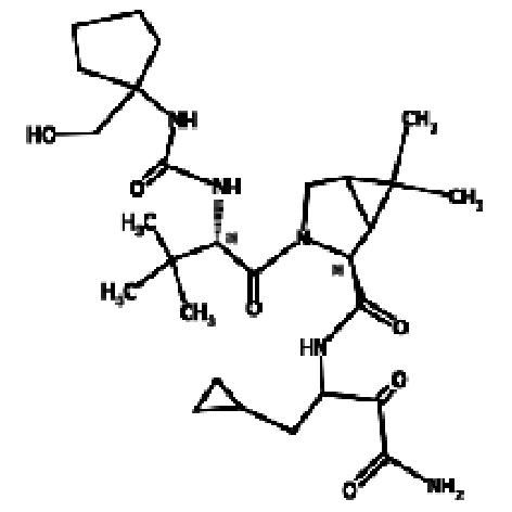 CC1(C)C2CN(C(=O)[C@@H](NC(=O)NC3(CO)CCCC3)C(C)(C)C)[C@H](C(=O)NC(CC3CC3)C(=O)C(N)=O)C21